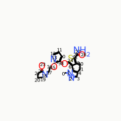 Cn1ncc2c1-c1c(Oc3cccnc3OCCN3CCCC3=O)sc(C(N)=O)c1CC2